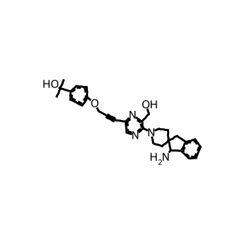 CC(C)(O)c1ccc(OCC#Cc2cnc(N3CCC4(CC3)Cc3ccccc3C4N)c(CO)n2)cc1